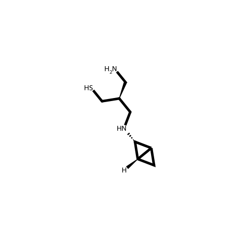 NC[C@H](CS)CN[C@@H]1C2C[C@@H]21